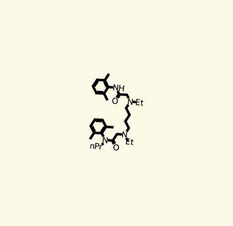 CCCN(C(=O)CN(CC)CCCCN(CC)CC(=O)Nc1c(C)cccc1C)c1c(C)cccc1C